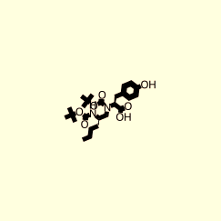 CCCC[C@@H](CN(C(=O)OC(C)(C)C)[C@@H](Cc1ccc(O)cc1)C(=O)O)NC(=O)OC(C)(C)C